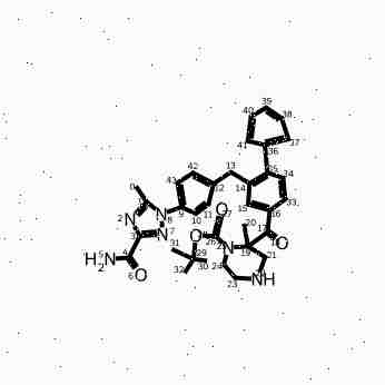 Cc1nc(C(N)=O)nn1-c1ccc(Cc2cc(C(=O)C3(C)CNCCN3C(=O)OC(C)(C)C)ccc2-c2ccccc2)cc1